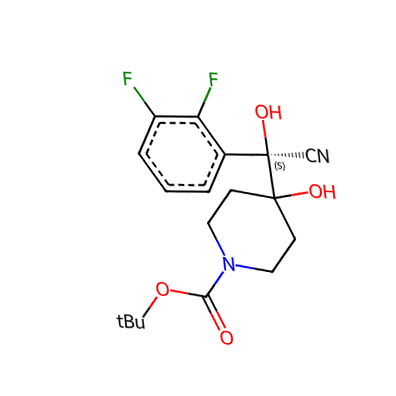 CC(C)(C)OC(=O)N1CCC(O)([C@@](O)(C#N)c2cccc(F)c2F)CC1